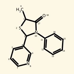 CC1SC(c2cccnc2)N(c2ccccc2)C1=O